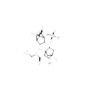 CC1(C)C2CC[C@@]1(CS(=O)(=O)O)C(=O)C2.CCOC(=O)[C@@H]1[C@H]2CC[C@H](C2)[C@@H]1N